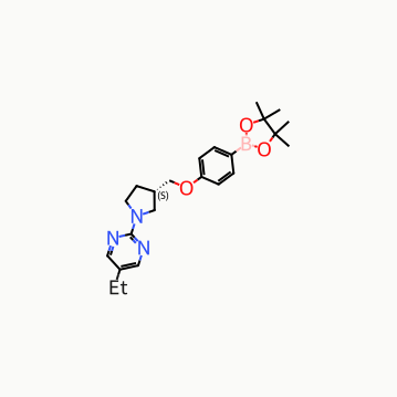 CCc1cnc(N2CC[C@H](COc3ccc(B4OC(C)(C)C(C)(C)O4)cc3)C2)nc1